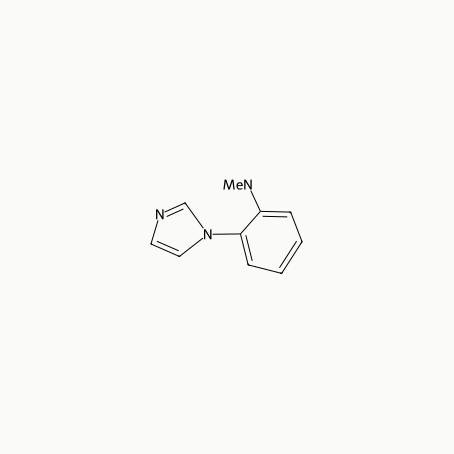 CNc1ccccc1-n1ccnc1